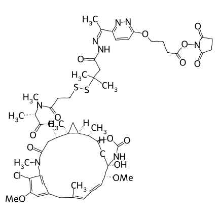 COc1cc2cc(c1Cl)N(C)C(=O)C[C@H](OC(=O)[C@H](C)N(C)C(=O)CCSSC(C)(C)CC(=O)N/N=C(/C)c1ccc(OCCCC(=O)ON3C(=O)CCC3=O)nn1)[C@@]1(C)C[C@H]1[C@H](C)[C@@H]1C[C@@](O)(NC(=O)O1)[C@H](OC)/C=C/C=C(\C)C2